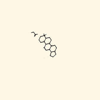 CC(C)[C@@H]1CC[C@]2(C(=O)O)CC[C@]3(C)C(CCC4[C@@]5(C)CC[C@@H](OC(=O)CO)C(C)(C)C5CC[C@]43C)C12